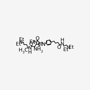 CCN(CC)CCCC(C)NC(=O)[C@@H](N)C1S[C@H](CNc2ccc(CCCC(=O)NCCN(CC)CC)cc2)C(=O)N1CC